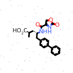 C[C@H](C[C@@H](Cc1ccc(-c2ccccc2)cc1)NC(=O)c1coc(=O)[nH]1)C(=O)O